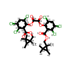 CCC1(COC(=O)c2c(Cl)c(Cl)cc(Cl)c2OC(=O)C(=O)Oc2c(Cl)cc(Cl)c(Cl)c2C(=O)OCC2(CC)C(C)C2(C)C)C(C)C1(C)C